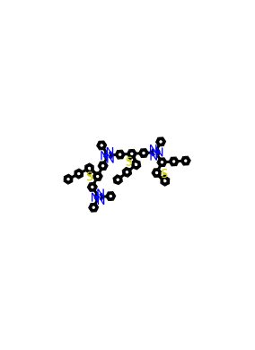 c1ccc(-c2ccc(-c3cc(-c4nc(-c5ccccc5)nc(-c5ccc(-c6ccc(-c7ccc(-c8nc(-c9ccccc9)nc(-c9ccc(-c%10ccc(-c%11cccc(-c%12nc(-c%13ccccc%13)nc(-c%13ccccc%13)n%12)c%11)c%11sc%12c(-c%13ccc(-c%14ccccc%14)cc%13)cccc%12c%10%11)cc9)n8)cc7)c7sc8c(-c9ccc(-c%10ccccc%10)cc9)cccc8c67)cc5)n4)cc(-c4cccc5c4sc4ccccc45)c3)cc2)cc1